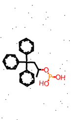 CC(CC(c1ccccc1)(c1ccccc1)c1ccccc1)OP(O)O